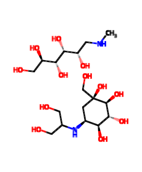 CNC[C@H](O)[C@@H](O)[C@H](O)[C@H](O)CO.OCC(CO)N[C@H]1C[C@](O)(CO)[C@@H](O)[C@H](O)[C@H]1O